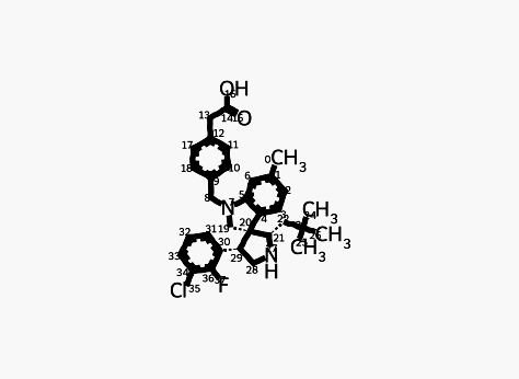 Cc1ccc2c(c1)N(Cc1ccc(CC(=O)O)cc1)C[C@@]21[C@H](CC(C)(C)C)NC[C@@H]1c1cccc(Cl)c1F